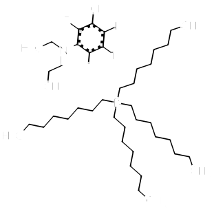 CCCCCCCC[B-](CCCCCCCC)(CCCCCCCC)CCCCCCCC.CCC[NH+](CC)c1c(F)c(C)c(F)c(F)c1F